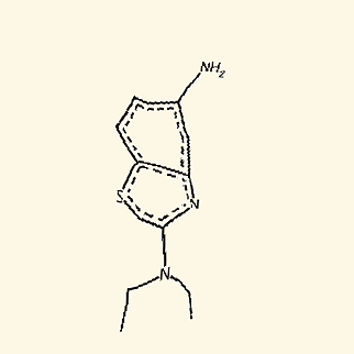 CCN(CC)c1nc2cc(N)ccc2s1